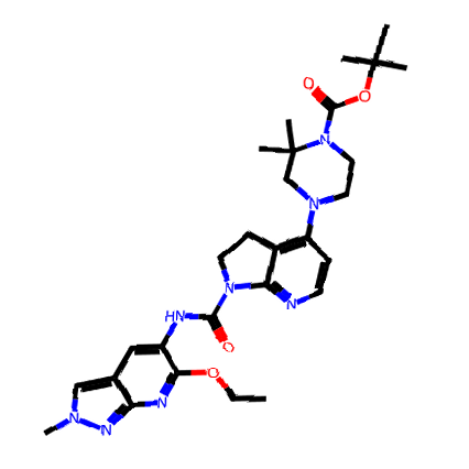 CCOc1nc2nn(C)cc2cc1NC(=O)N1CCc2c(N3CCN(C(=O)OC(C)(C)C)C(C)(C)C3)ccnc21